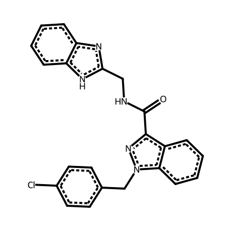 O=C(NCc1nc2ccccc2[nH]1)c1nn(Cc2ccc(Cl)cc2)c2ccccc12